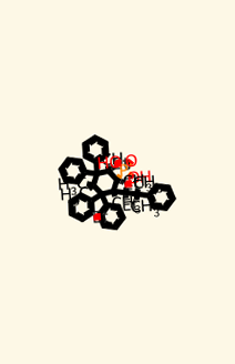 CCc1ccccc1C1(c2ccccc2)C(C)(C)C(c2ccccc2)(c2ccccc2)C(C)(CC)C(CC)(P(=O)(O)O)C1(C)C(C)(CC)C(C)(C)c1ccccc1